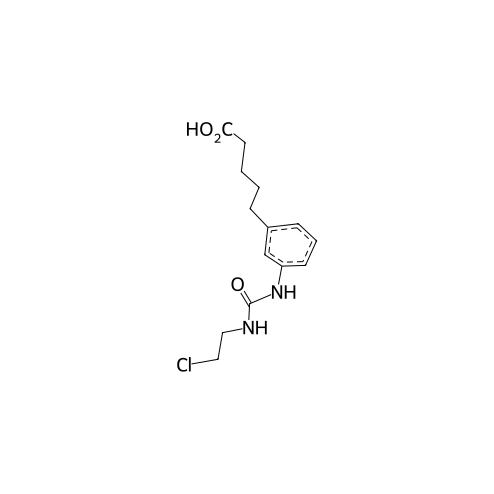 O=C(O)CCCCc1cccc(NC(=O)NCCCl)c1